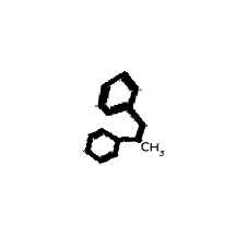 CC(Cc1[c]cc[c]c1)[C]1C=C[CH]C=C1